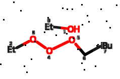 CCO.CCOOOCC(C)CC